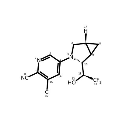 N#Cc1ncc(N2C[C@@H]3CC3[C@@H]2[C@H](O)C(F)(F)F)cc1Cl